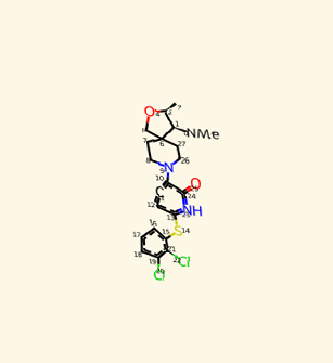 CN[C@@H]1[C@H](C)OCC12CCN(c1ccc(Sc3cccc(Cl)c3Cl)[nH]c1=O)CC2